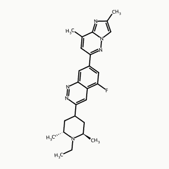 CCN1[C@H](C)CC(c2cc3c(F)cc(-c4cc(C)c5nc(C)cn5n4)cc3nn2)C[C@H]1C